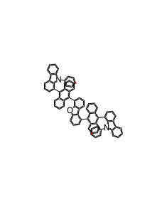 c1ccc(-n2c3ccccc3c3cccc(-c4c5ccccc5c(-c5cccc6c5oc5cccc(-c7c8ccccc8c(-c8cccc9c%10ccccc%10n(-c%10ccccc%10)c89)c8ccccc78)c56)c5ccccc45)c32)cc1